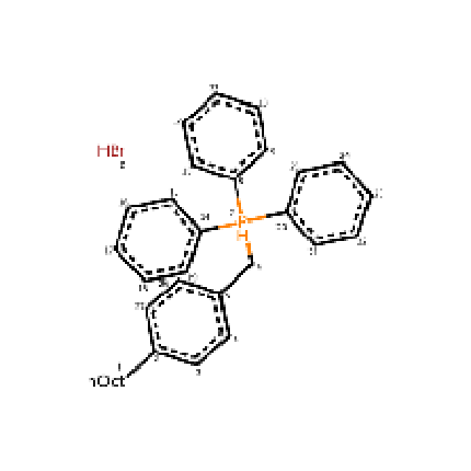 Br.CCCCCCCCc1ccc(C[PH](c2ccccc2)(c2ccccc2)c2ccccc2)cc1